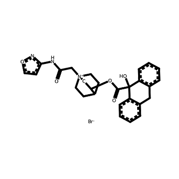 O=C(C[N+]12CCC(CC1)C(OC(=O)C1(O)c3ccccc3Cc3ccccc31)C2)Nc1ccon1.[Br-]